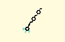 CC[C@H]1CC[C@H](CCC2CCC(/C=C/C#Cc3cc(F)c(F)c(F)c3)CC2)CC1